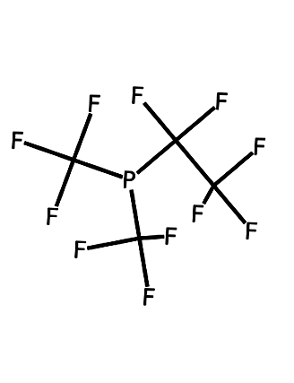 FC(F)(F)P(C(F)(F)F)C(F)(F)C(F)(F)F